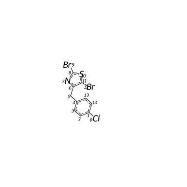 Clc1ccc(Cc2nc(Br)sc2Br)cc1